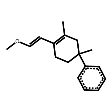 COC=CC1=C(C)CC(C)(c2ccccc2)CC1